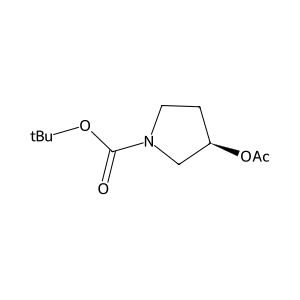 CC(=O)O[C@@H]1CCN(C(=O)OC(C)(C)C)C1